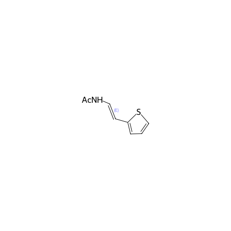 CC(=O)N/C=C/c1cccs1